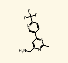 Cc1nc(CN)cc(-c2ccc(C(F)(F)F)nc2)n1